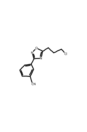 N#Cc1cccc(-c2noc(CCCCl)n2)c1